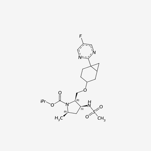 CC(C)OC(=O)N1[C@H](C)C[C@H](NS(C)(=O)=O)[C@@H]1COC1CCC2(c3ncc(F)cn3)CC2C1